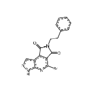 O=C1c2c(Br)nc3[nH]ncc3c2C(=O)N1CCc1ccccc1